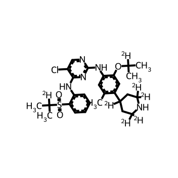 [2H]C1([2H])CC([2H])(c2cc(OC([2H])(C)C)c(Nc3ncc(Cl)c(Nc4ccccc4S(=O)(=O)C([2H])(C)C)n3)cc2C)CC([2H])([2H])N1